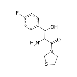 NC(C(=O)N1CCSC1)C(O)c1ccc(F)cc1